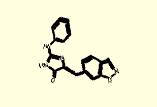 O=C1NC(Nc2ccccc2)=N/C1=C\c1ccc2cn[nH]c2c1